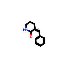 O=C1NCCC/C1=C/c1ccccc1